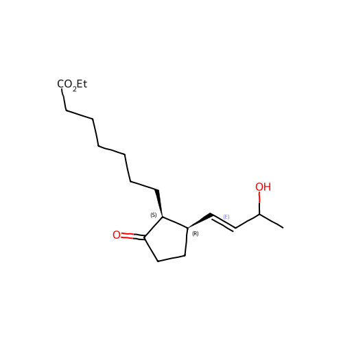 CCOC(=O)CCCCCC[C@@H]1C(=O)CC[C@@H]1/C=C/C(C)O